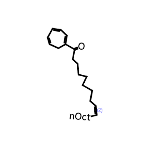 CCCCCCCC/C=C\CCCCCCCC(=O)C1=CC=CC=CC1